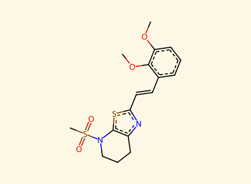 COc1cccc(/C=C/c2nc3c(s2)N(S(C)(=O)=O)CCC3)c1OC